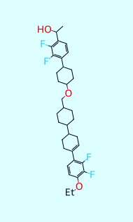 CCOc1ccc(C2=CCC(C3CCC(COC4CCC(c5ccc(C(C)O)c(F)c5F)CC4)CC3)CC2)c(F)c1F